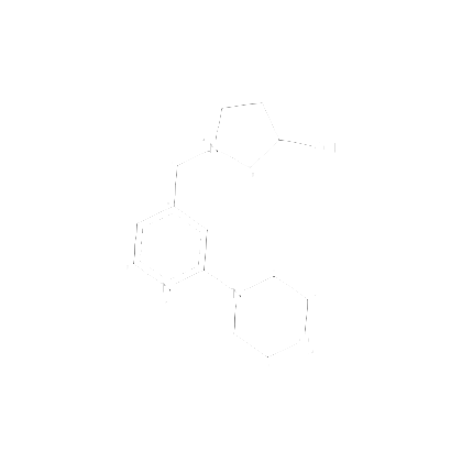 OC1CCN(Cc2ccnc(N3CCOCC3)c2)C1